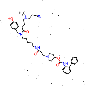 CN(CCC#N)CCCC(=O)N(CCCCCNC(=O)CCN1CCC(OC(=O)Nc2ccccc2-c2ccccc2)CC1)Cc1ccc(O)cc1